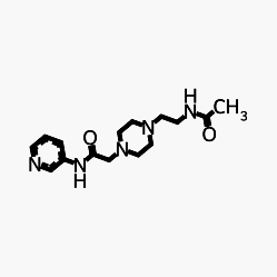 CC(=O)NCCN1CCN(CC(=O)Nc2cccnc2)CC1